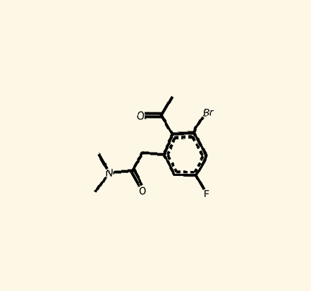 CC(=O)c1c(Br)cc(F)cc1CC(=O)N(C)C